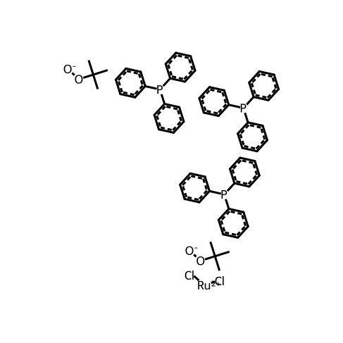 CC(C)(C)O[O-].CC(C)(C)O[O-].[Cl][Ru+2][Cl].c1ccc(P(c2ccccc2)c2ccccc2)cc1.c1ccc(P(c2ccccc2)c2ccccc2)cc1.c1ccc(P(c2ccccc2)c2ccccc2)cc1